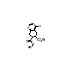 CCOC(=O)C1Cc2c(Cl)ncnc2CN1C(=O)OC(C)(C)C